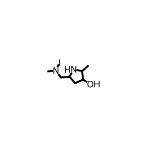 CC1NC(CN(C)I)CC1O